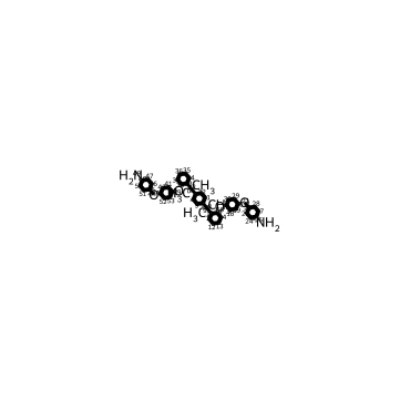 CC(C)(c1ccc(C(C)(C)c2ccccc2Oc2ccc(Oc3ccc(N)cc3)cc2)cc1)c1ccccc1Oc1ccc(Oc2ccc(N)cc2)cc1